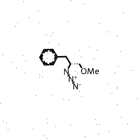 COC[C@@H](Cc1ccccc1)N=[N+]=[N-]